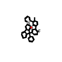 Cc1ccc2c(oc3c(C4(c5ccccc5)c5ccccc5-c5ccccc54)ccc(F)c32)c1-c1cccc[n+]1C